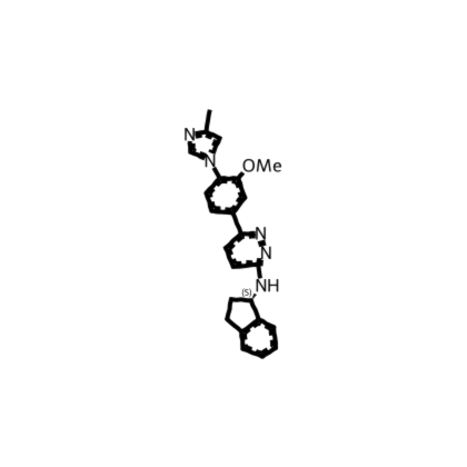 COc1cc(-c2ccc(N[C@H]3CCc4ccccc43)nn2)ccc1-n1cnc(C)c1